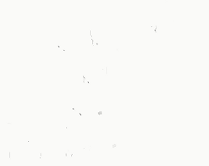 [2H]C1(Nc2ncc3cc(C([2H])(F)F)c(=O)n([C@@H]4CCC[C@@]4(C)O)c3n2)CCN(S(C)(=O)=O)CC1